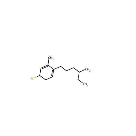 CCC(C)CCCC1=CCC(S)C=C1C